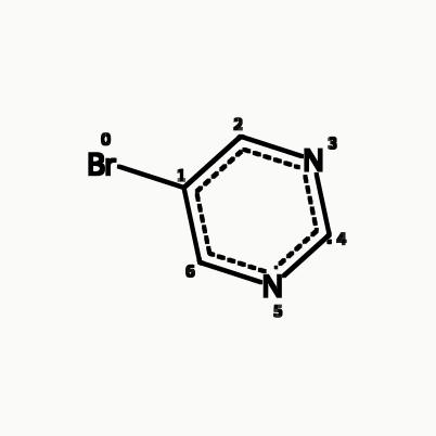 Brc1cn[c]nc1